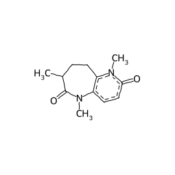 CC1CCc2c(ccc(=O)n2C)N(C)C1=O